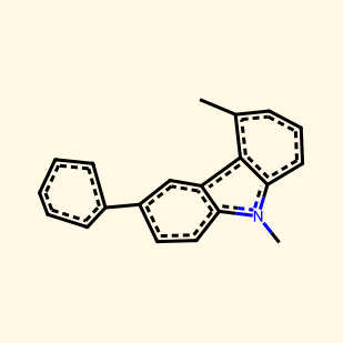 Cc1cccc2c1c1cc(-c3ccccc3)ccc1n2C